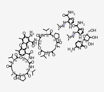 CN(C)/N=N/c1[nH]cnc1C(N)=O.CN(C)/N=N/c1[nH]cnc1C(N)=O.Cc1c2oc3c(C)ccc(C(=O)N[C@@H]4C(=O)N[C@H](C(C)C)C(=O)N5CCC[C@H]5C(=O)N(C)CC(=O)N(C)[C@@H](C(C)C)C(=O)O[C@@H]4C)c3nc-2c(C(=O)N[C@@H]2C(=O)N[C@H](C(C)C)C(=O)N3CCC[C@H]3C(=O)N(C)CC(=O)N(C)[C@@H](C(C)C)C(=O)O[C@@H]2C)c(N)c1=O.Nc1ccn([C@@H]2O[C@H](CO)[C@@H](O)[C@@H]2O)c(=O)n1